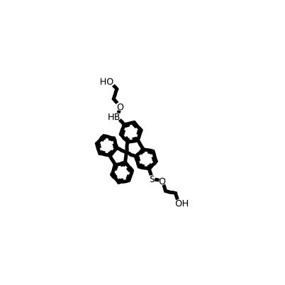 OCCOBc1ccc2c(c1)C1(c3ccccc3-c3ccccc31)c1cc(SOCCO)ccc1-2